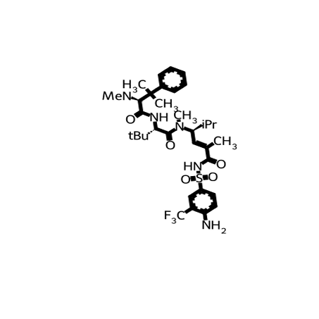 CN[C@H](C(=O)N[C@H](C(=O)N(C)[C@H](C=C(C)C(=O)NS(=O)(=O)c1ccc(N)c(C(F)(F)F)c1)C(C)C)C(C)(C)C)C(C)(C)c1ccccc1